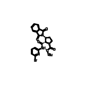 CC(C)(C)OC(=O)N1CC[C@@H](N2C(=O)c3ccccc3C2=O)[C@H]1C(=O)Nc1cccc(Br)n1